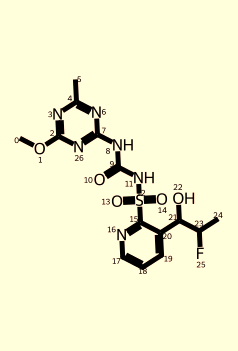 COc1nc(C)nc(NC(=O)NS(=O)(=O)c2ncccc2C(O)C(C)F)n1